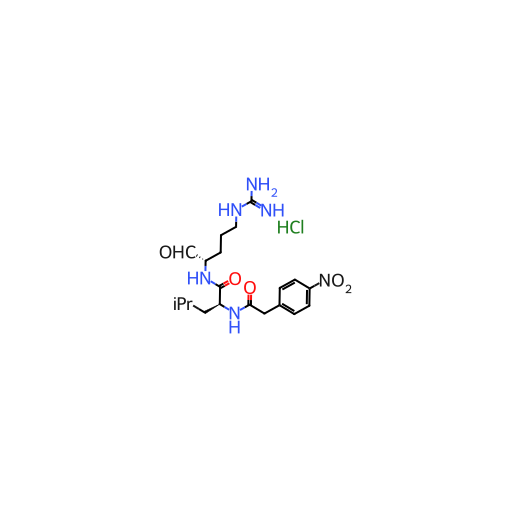 CC(C)C[C@H](NC(=O)Cc1ccc([N+](=O)[O-])cc1)C(=O)N[C@H](C=O)CCCNC(=N)N.Cl